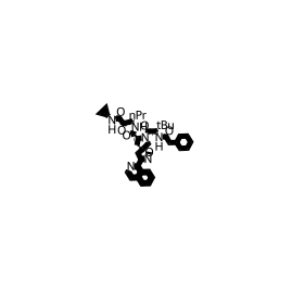 CCC[C@H](NC(=O)[C@@H]1C[C@]2(CC(c3nccc4ccccc34)=NO2)CN1C(=O)[C@@H](NC(=O)CC1CCCCC1)C(C)(C)C)C(=O)C(=O)NC1CC1